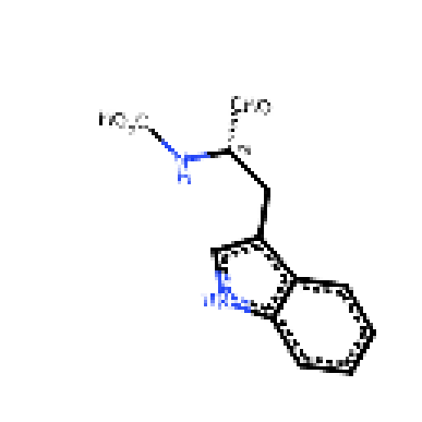 O=C[C@H](Cc1c[nH]c2ccccc12)NC(=O)O